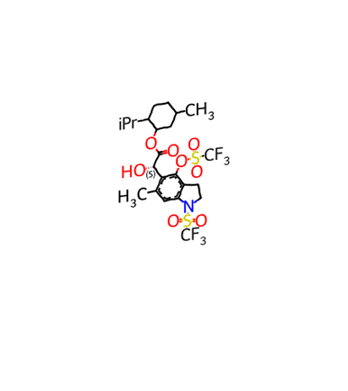 Cc1cc2c(c(OS(=O)(=O)C(F)(F)F)c1[C@H](O)C(=O)OC1CC(C)CCC1C(C)C)CCN2S(=O)(=O)C(F)(F)F